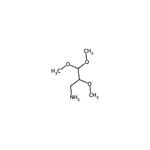 CO[C](OC)C(CN)OC